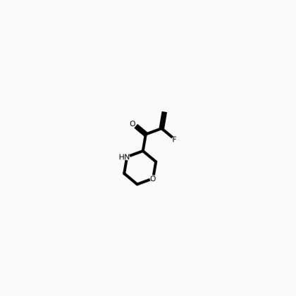 C=C(F)C(=O)C1COCCN1